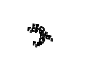 FC(C(F)(F)F)C(F)(F)C1CCCC(C(F)(F)C(N2CCN(C(F)(F)F)CC2)C(F)(F)F)O1